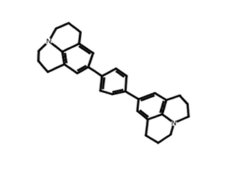 c1cc(-c2cc3c4c(c2)CCCN4CCC3)ccc1-c1cc2c3c(c1)CCCN3CCC2